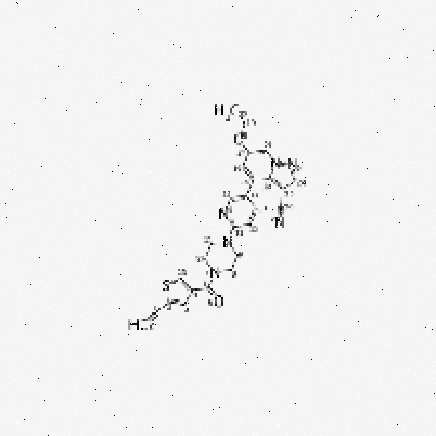 C#Cc1cc(C(=O)N2CCN(c3ccc(-c4cc(OCC)cn5ncc(C#N)c45)cn3)CC2)cs1